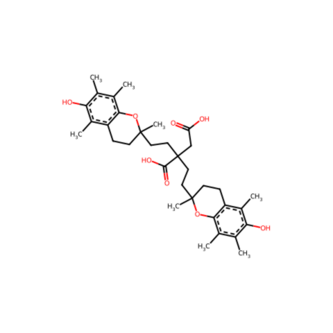 Cc1c(C)c2c(c(C)c1O)CCC(C)(CCC(CCC1(C)CCc3c(C)c(O)c(C)c(C)c3O1)(CC(=O)O)C(=O)O)O2